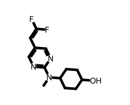 CN(c1ncc(C=C(F)F)cn1)C1CCC(O)CC1